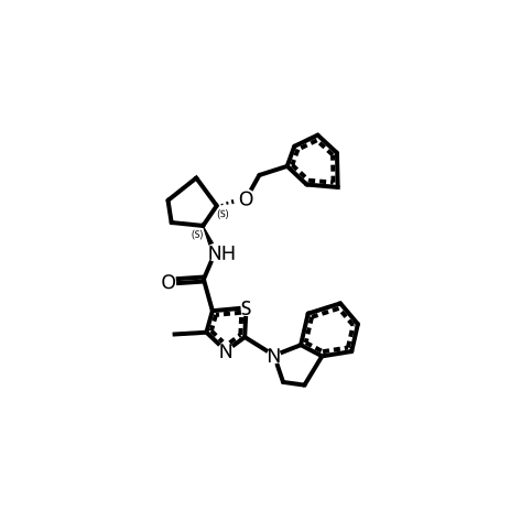 Cc1nc(N2CCc3ccccc32)sc1C(=O)N[C@H]1CCC[C@@H]1OCc1ccccc1